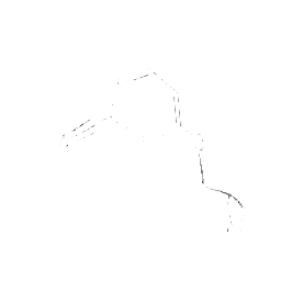 N#Cc1cccc(OCC2CO2)c1